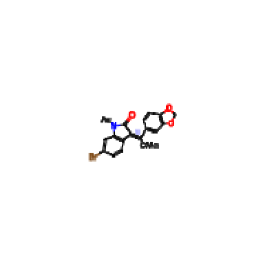 CO/C(=C1/C(=O)N(C(C)=O)c2cc(Br)ccc21)c1ccc2c(c1)OCO2